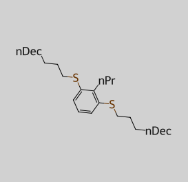 [CH2]CCc1c(SCCCCCCCCCCCCC)cccc1SCCCCCCCCCCCCC